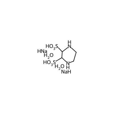 O.O.O=S(=O)(O)C1NCCNC1S(=O)(=O)O.[NaH].[NaH]